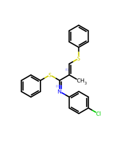 CC(=C\Sc1ccccc1)/C(=N\c1ccc(Cl)cc1)Sc1ccccc1